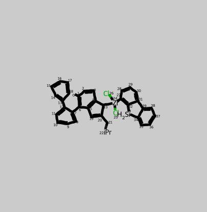 Cc1ccc2c(c1-c1ccccc1-c1ccccc1)C=C(CC(C)C)[CH]2[Zr]([Cl])([Cl])[c]1cccc2c1[SiH2]c1ccccc1-2